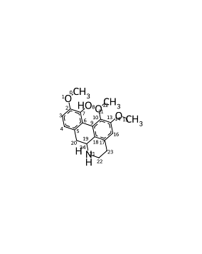 COc1ccc2c(c1O)-c1c(OC)c(OC)cc3c1[C@H](C2)NCC3